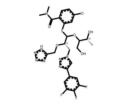 C[C@@H](O)C(CO)OC(Sc1cc(Cl)ccc1C(=O)N(C)C)[C@H](Cn1cc(-c2cc(F)c(F)c(F)c2)nn1)OCc1nnn[nH]1